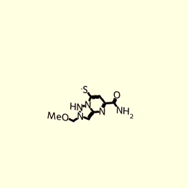 COCN1C=C2N=C(C(N)=O)C=C([S])N2N1